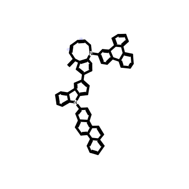 C=C1/C=C\C=C/CN(c2ccc3c4ccccc4c4ccccc4c3c2)c2ccc(-c3ccc4c(c3)c3ccccc3n4-c3ccc4c(ccc5c6ccccc6ccc45)c3)cc21